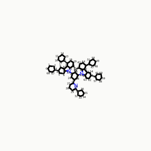 c1ccc(-c2ccc3c(c2)c2c(-c4ccccc4)ccc4c2n3-c2cc(-c3cccc(-c5ccccc5)n3)cc3c2B4c2ccc(-c4ccccc4)c4c5cc(-c6ccccc6)ccc5n-3c24)cc1